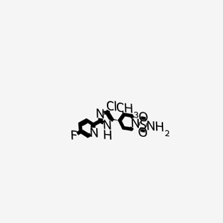 C[C@@H]1CN(S(N)(=O)=O)CC[C@@H]1c1[nH]c(-c2ccc(F)cn2)nc1Cl